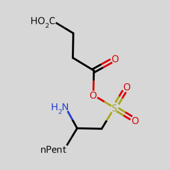 CCCCCC(N)CS(=O)(=O)OC(=O)CCC(=O)O